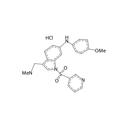 CNCc1cn(S(=O)(=O)c2cccnc2)c2cc(Nc3ccc(OC)cc3)ccc12.Cl